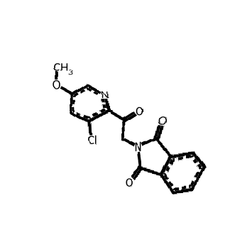 COc1cnc(C(=O)CN2C(=O)c3ccccc3C2=O)c(Cl)c1